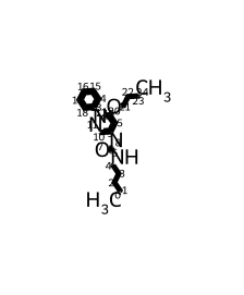 CCCCCNC(=O)/N=c1\cnn(-c2ccccc2)c(OCCCC)c1